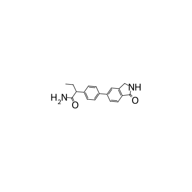 CCC(C(N)=O)c1ccc(-c2ccc3c(c2)CNC3=O)cc1